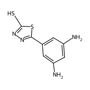 Nc1cc(N)cc(-c2nnc(S)s2)c1